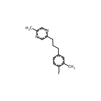 Cc1cnc(C[CH]Cc2ccc(F)c(C)c2)cn1